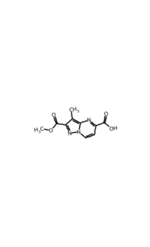 COC(=O)c1nn2ccc(C(=O)O)nc2c1C